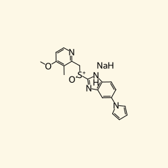 COc1ccnc(C[S+]([O-])c2nc3cc(-n4cccc4)ccc3[nH]2)c1C.[NaH]